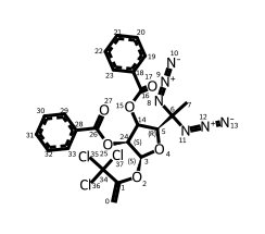 C=C(O[C@@H]1O[C@H](C(C)(N=[N+]=[N-])N=[N+]=[N-])C(OC(=O)c2ccccc2)[C@@H]1OC(=O)c1ccccc1)C(Cl)(Cl)Cl